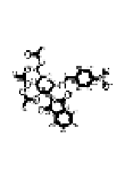 CC(=O)OC[C@H]1O[C@@H](OCc2ccc([N+](=O)[O-])cc2)[C@H](N2C(=O)c3ccccc3C2=O)[C@@H](OC(C)=O)[C@@H]1OC(C)=O